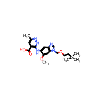 COc1cc2c(cc1Nc1nnc(C)cc1C(=O)O)ncn2COCC[Si](C)(C)C